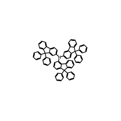 c1ccc(C2(c3ccccc3)c3ccccc3-c3cc(N(c4ccc5c(c4)C(c4ccccc4)(c4ccccc4)c4ccccc4-5)c4cccc5c4-c4ccccc4C5(c4ccccc4)c4ccccc4)ccc32)cc1